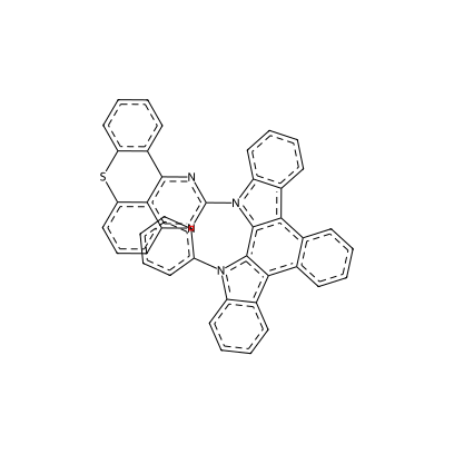 c1ccc(-n2c3ccccc3c3c4ccccc4c4c5ccccc5n(-c5nc6c7c(cccc7n5)Sc5ccccc5-6)c4c32)cc1